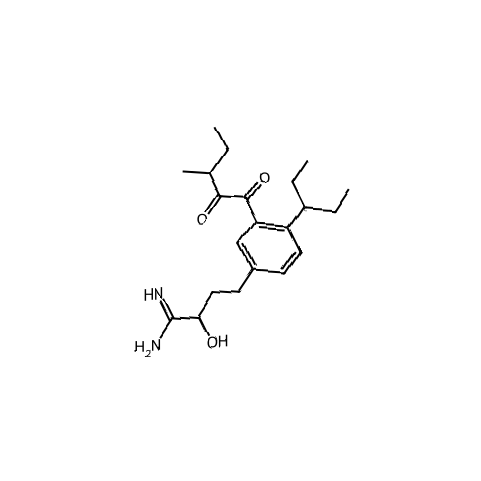 CC[C](CC)c1ccc(CCC(O)C(=N)N)cc1C(=O)C(=O)C(C)CC